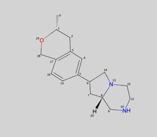 C[C@@H]1Cc2cc(C3C[C@H]4CNCCN4C3)ccc2CO1